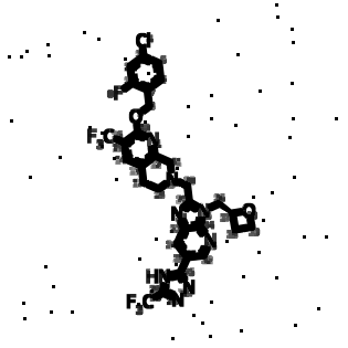 Fc1cc(Cl)ccc1COc1nc2c(cc1C(F)(F)F)CCN(Cc1nc3cc(-c4nnc(C(F)(F)F)[nH]4)cnc3n1C[C@@H]1CCO1)C2